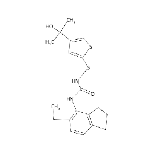 CCc1ccc2c(c1NC(=O)NSc1cc(C(C)(C)O)cs1)CCC2